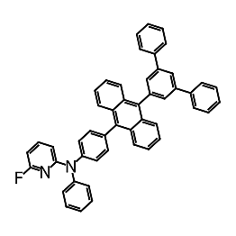 Fc1cccc(N(c2ccccc2)c2ccc(-c3c4ccccc4c(-c4cc(-c5ccccc5)cc(-c5ccccc5)c4)c4ccccc34)cc2)n1